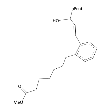 CCCCCC(O)C=Cc1ccccc1CCCCCCC(=O)OC